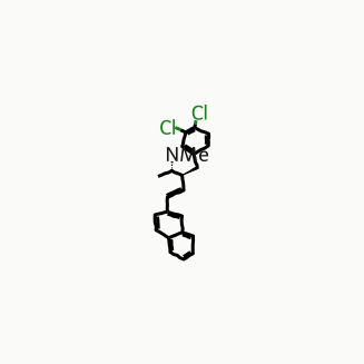 CN[C@@H](C)[C@H](C=Cc1ccc2ccccc2c1)Cc1ccc(Cl)c(Cl)c1